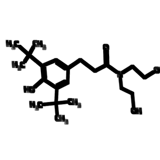 CC(C)(C)c1cc(CCC(=O)N(CCO)CCO)cc(C(C)(C)C)c1O